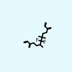 C=CC(=C)CCC(C)C(F)(F)C(C)(C)CCC(=C)C=C